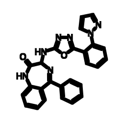 O=C1Nc2ccccc2C(c2ccccc2)=NC1Nc1nnc(-c2ccccc2-n2cccn2)o1